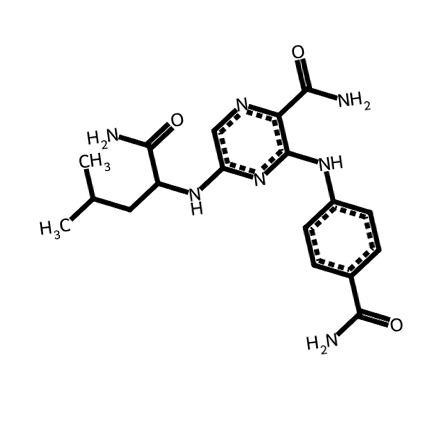 CC(C)CC(Nc1cnc(C(N)=O)c(Nc2ccc(C(N)=O)cc2)n1)C(N)=O